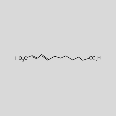 O=C(O)/C=C/C=C/CCCCCCC(=O)O